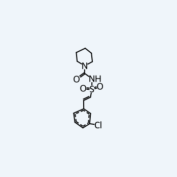 O=C(NS(=O)(=O)C=Cc1cccc(Cl)c1)N1CCCCC1